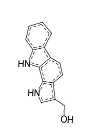 OCc1c[nH]c2c1ccc1c3ccccc3[nH]c12